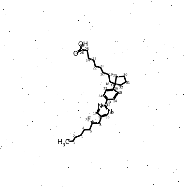 CCCCCC[C@@H](F)Cc1cnc(-c2ccc(C3(CCCCCCCCC(=O)O)CCCC3)cc2)nc1